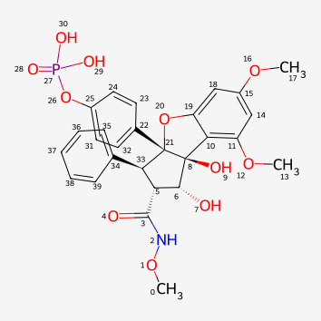 CONC(=O)[C@H]1[C@@H](O)[C@@]2(O)c3c(OC)cc(OC)cc3O[C@@]2(c2ccc(OP(=O)(O)O)cc2)[C@@H]1c1ccccc1